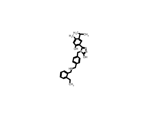 CCc1ccccc1CNCc1ccc(Cn2c(O)nnc2-c2cc(C(C)C)c(C)cc2O)cc1